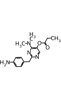 CCC(=O)Oc1cnc(Cc2ccc(N)cc2)nc1N(C)C